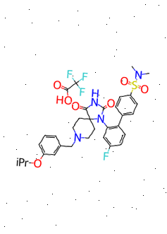 CC(C)Oc1cccc(CN2CCC3(CC2)C(=O)NC(=O)N3c2cc(F)ccc2-c2ccc(S(=O)(=O)N(C)C)cc2)c1.O=C(O)C(F)(F)F